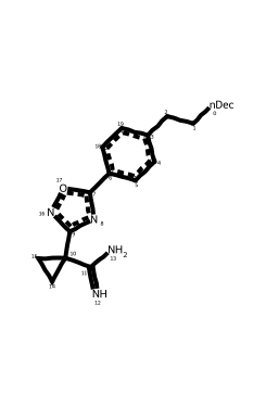 CCCCCCCCCCCCc1ccc(-c2nc(C3(C(=N)N)CC3)no2)cc1